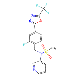 CS(=O)(=O)N(Cc1ccc(-c2nnc(C(F)(F)F)o2)cc1F)c1cccnc1